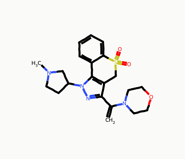 C=C(c1nn(C2CCN(C)C2)c2c1CS(=O)(=O)c1ccccc1-2)N1CCOCC1